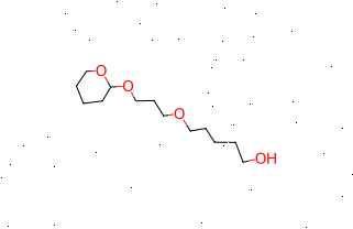 OCCCCCOCCCOC1CCCCO1